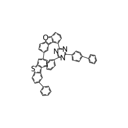 c1ccc(-c2ccc(-c3nc(-c4ccccc4)nc(-c4cccc5oc6ccc(-c7ccc8c(c7)sc7ccc(-c9ccccc9)cc78)cc6c45)n3)cc2)cc1